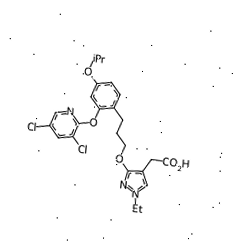 CCn1cc(CC(=O)O)c(OCCCc2ccc(OC(C)C)cc2Oc2ncc(Cl)cc2Cl)n1